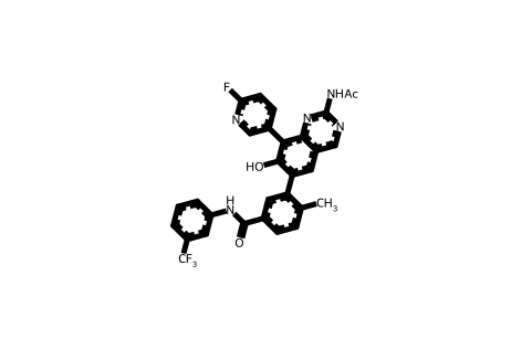 CC(=O)Nc1ncc2cc(-c3cc(C(=O)Nc4cccc(C(F)(F)F)c4)ccc3C)c(O)c(-c3ccc(F)nc3)c2n1